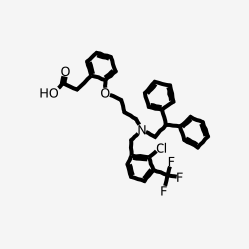 O=C(O)Cc1ccccc1OCCCN(Cc1cccc(C(F)(F)F)c1Cl)CC(c1ccccc1)c1ccccc1